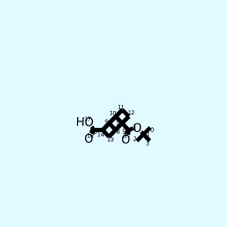 CC(C)(C)OC(=O)C12C3C4C1C1C2C3C41C(=O)O